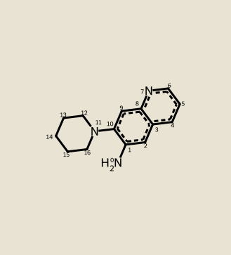 Nc1cc2cccnc2cc1N1CCCCC1